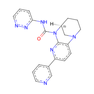 O=C(Nc1cccnn1)N1c2nc(-c3cccnc3)ccc2N2CCC[C@H]1C2